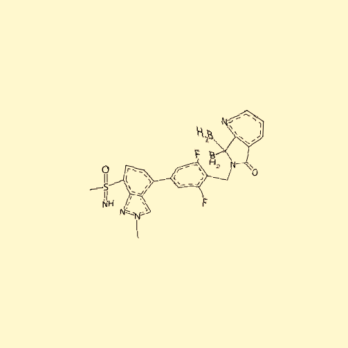 BC1(B)c2ncccc2C(=O)N1Cc1c(F)cc(-c2ccc(S(C)(=N)=O)c3nn(C)cc23)cc1F